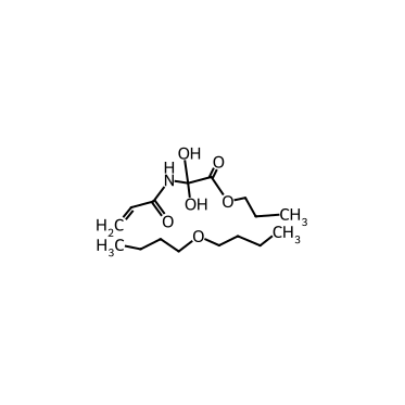 C=CC(=O)NC(O)(O)C(=O)OCCC.CCCCOCCCC